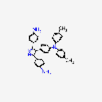 Cc1ccc(N(c2ccc(C)cc2)c2ccc(C3C(c4ccc(N)cc4)=NN=C3c3ccc(N)cc3)cc2)cc1